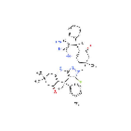 CCC1(c2ccccc2)C2=C(CC(C)(Cn3nc4c(c3F)C(C)(c3cccc(C(F)(F)F)c3)C3=C(CC(C)(C)CC3=O)N4)CC2=O)Nc2n[nH]cc21